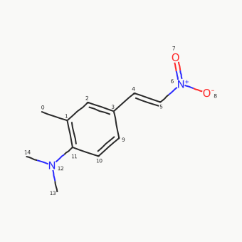 Cc1cc(C=C[N+](=O)[O-])ccc1N(C)C